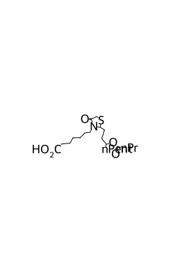 CCCCCC(CCC1SCC(=O)N1CCCCCCC(=O)O)OC(=O)CCC